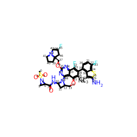 CS(=O)(=O)N1CC1C(=O)NC1CC2COc3c(C(F)(F)F)c(-c4ccc(F)c5sc(N)c(C#N)c45)c(F)c4nc(OC[C@@]56CCCN5C[C@H](F)C6)nc(c34)N21